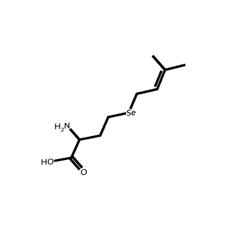 CC(C)=CC[Se]CCC(N)C(=O)O